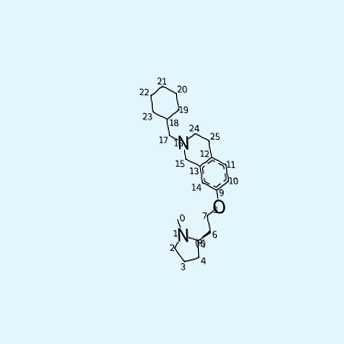 CN1CCC[C@@H]1CCOc1ccc2c(c1)CN(CC1CCCCC1)CC2